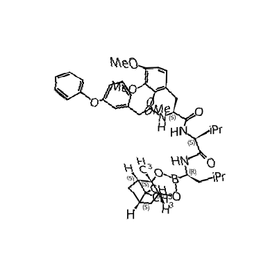 COc1ccc(C[C@H](NC(=O)Cc2cccc(Oc3ccccc3)c2)C(=O)N[C@H](C(=O)N[C@@H](CC(C)C)B2O[C@@H]3C[C@@H]4C[C@@H](C4(C)C)[C@]3(C)O2)C(C)C)c(OC)c1OC